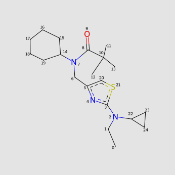 CCN(c1nc(CN(C(=O)C(C)(C)C)C2CCCCC2)cs1)C1CC1